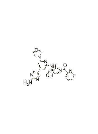 Nc1ncc(-c2cc(N[C@@]3(CO)CCN(C(=O)c4ccccn4)C3)nc(N3CCOCC3)n2)cn1